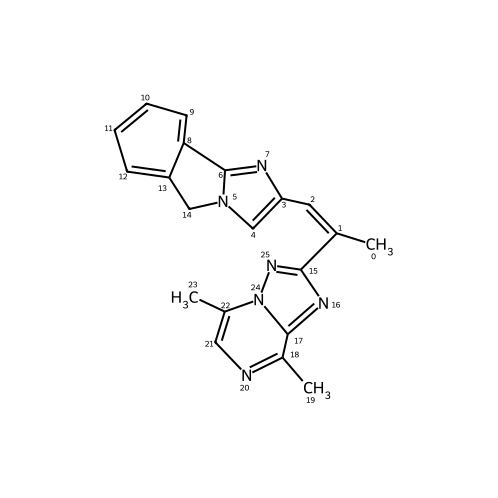 CC(=Cc1cn2c(n1)-c1ccccc1C2)c1nc2c(C)ncc(C)n2n1